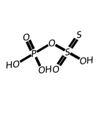 O=P(O)(O)OS(=O)(O)=S